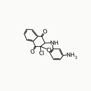 Nc1cccc(NC2C(=O)c3ccccc3C(=O)C2(Cl)Cl)c1